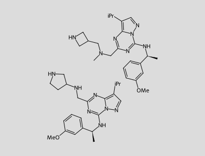 COc1cccc([C@H](C)Nc2nc(CN(C)CC3CNC3)nc3c(C(C)C)cnn23)c1.COc1cccc([C@H](C)Nc2nc(CNC3CCNC3)nc3c(C(C)C)cnn23)c1